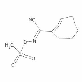 CS(=O)(=O)ON=C(C#N)C1=CCCCC1